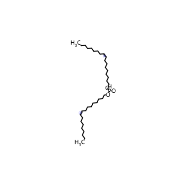 CCCCCCCC/C=C\CCCCCCCCO[PH](=O)OCCCCCCCC/C=C\CCCCCCCC